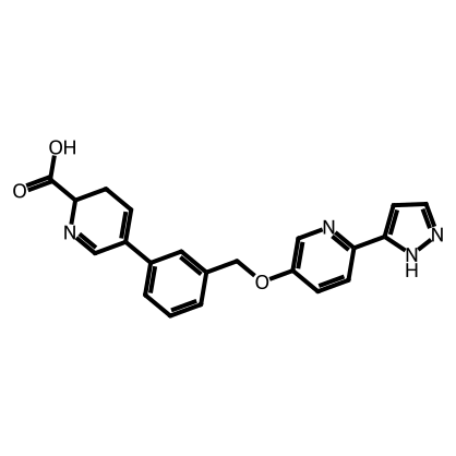 O=C(O)C1CC=C(c2cccc(COc3ccc(-c4ccn[nH]4)nc3)c2)C=N1